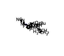 CC(C)(C)OC(=O)N(COCC[Si](C)(C)C)C1=N[C@](C)(c2cc(/C=C(\F)c3cnc(C#N)cn3)ccc2F)[C@@H]2C[C@]2(C(=O)O)S1